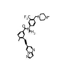 Cc1ccc(C(=O)N(P)c2ccc(CN3CCN(C)CC3)c(C(F)(F)F)c2)cc1C#Cc1cnc2ccnn2c1